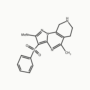 CNc1nn2c3c(c(C)nc2c1S(=O)(=O)c1ccccc1)CCNC3